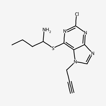 C#CCn1cnc2nc(Cl)nc(SC(N)CCC)c21